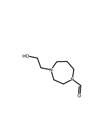 O=CN1CCCN(CCO)CC1